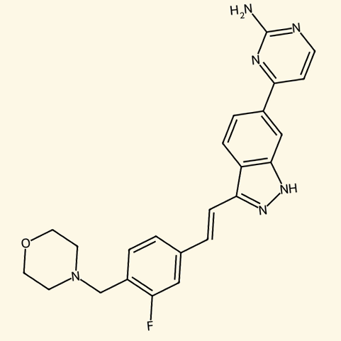 Nc1nccc(-c2ccc3c(C=Cc4ccc(CN5CCOCC5)c(F)c4)n[nH]c3c2)n1